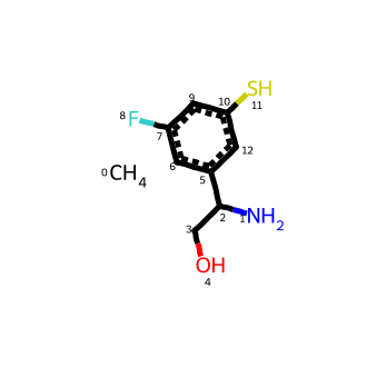 C.NC(CO)c1cc(F)cc(S)c1